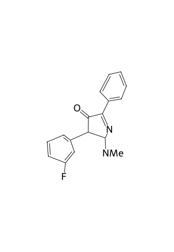 CNC1N=C(c2ccccc2)C(=O)C1c1cccc(F)c1